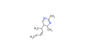 C=C/C=C\C(C)C1C=NC(C)=NC1C